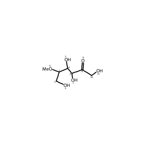 COC(CO)C(O)C(O)C(=O)CO